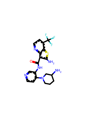 Nc1sc2c(C(F)(F)F)ccnc2c1C(=O)Nc1cnccc1N1CCCC(N)C1